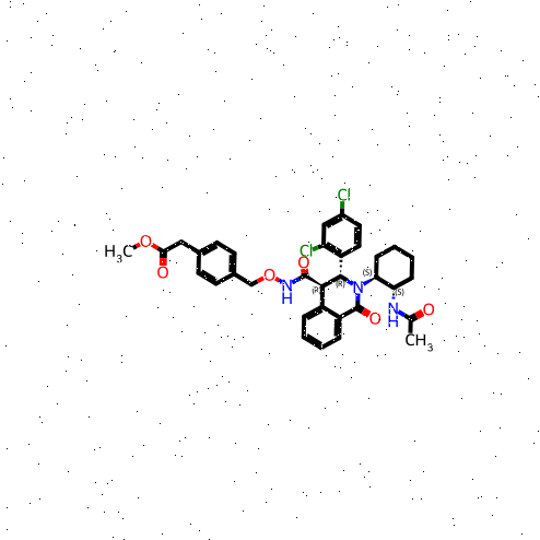 COC(=O)Cc1ccc(CONC(=O)[C@@H]2c3ccccc3C(=O)N([C@H]3CCCC[C@@H]3NC(C)=O)[C@H]2c2ccc(Cl)cc2Cl)cc1